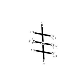 [CH3][Sn]([CH3])([C](F)(F)C(F)(F)F)[C](F)(F)C(F)(F)F